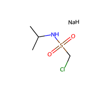 CC(C)NS(=O)(=O)CCl.[NaH]